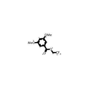 COc1cc(OC)cc(C(=O)OCC(F)(F)F)c1